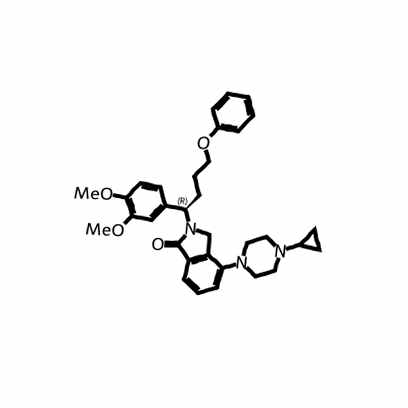 COc1ccc([C@@H](CCCOc2ccccc2)N2Cc3c(cccc3N3CCN(C4CC4)CC3)C2=O)cc1OC